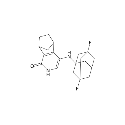 O=c1[nH]cc(NC23CC4CC(F)(CC(F)(C4)C2)C3)c2c1C1CCC2C1